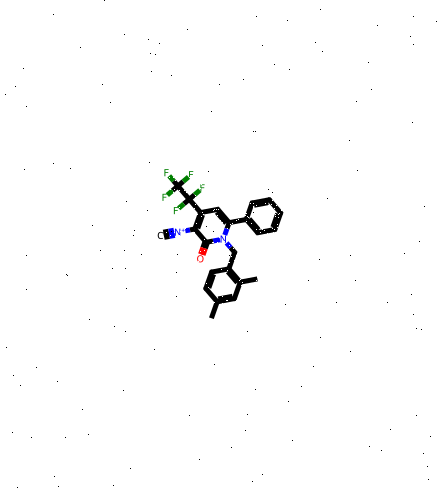 [C-]#[N+]c1c(C(F)(F)C(F)(F)F)cc(-c2ccccc2)n(Cc2ccc(C)cc2C)c1=O